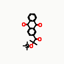 CC(C)(O[Si](C)(C)C)C(=O)c1ccc2c(c1)C(=O)c1ccccc1C2=O